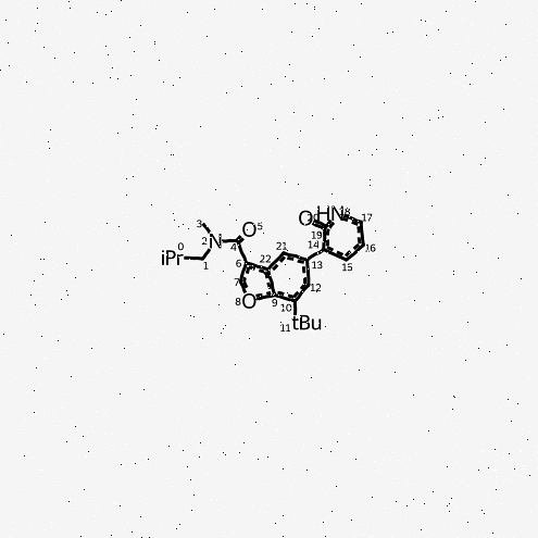 CC(C)CN(C)C(=O)c1coc2c(C(C)(C)C)cc(-c3ccc[nH]c3=O)cc12